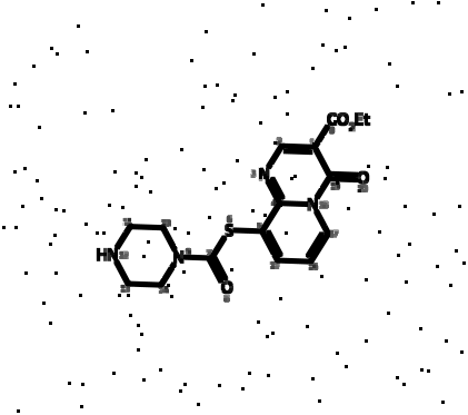 CCOC(=O)c1cnc2c(SC(=O)N3CCNCC3)cccn2c1=O